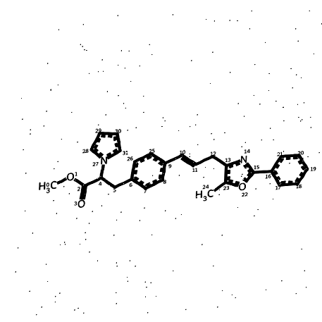 COC(=O)C(Cc1ccc(C=CCc2nc(-c3ccccc3)oc2C)cc1)n1cccc1